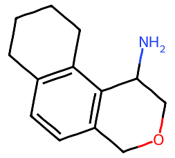 NC1COCc2ccc3c(c21)CCCC3